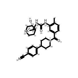 Cc1ccc(C(=O)N2CCC(c3ccc(C#N)cc3)CC2)cc1NC(=O)N[C@@H]1CN2CCC1CC2